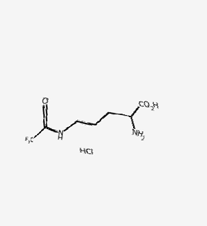 Cl.NC(CCCNC(=O)C(F)(F)F)C(=O)O